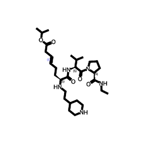 CCNC(=O)[C@@H]1CCCN1C(=O)[C@@H](NC(=O)[C@H](CC/C=C/CC(=O)OC(C)C)NCCC1CCNCC1)C(C)C